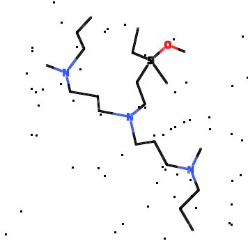 CCCN(C)CCCN(CCCN(C)CCC)CC[Si](C)(CC)OC